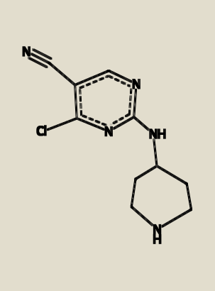 N#Cc1cnc(NC2CCNCC2)nc1Cl